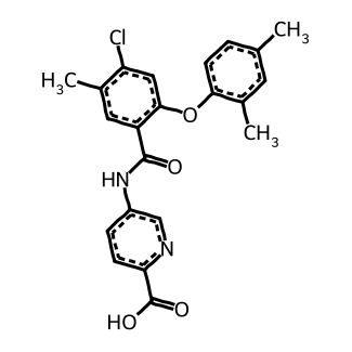 Cc1ccc(Oc2cc(Cl)c(C)cc2C(=O)Nc2ccc(C(=O)O)nc2)c(C)c1